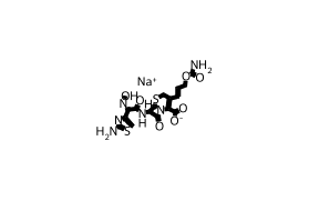 NC(=O)OC/C=C/C1=C(C(=O)[O-])N2C(=O)C(NC(=O)/C(=N\O)c3csc(N)n3)[C@H]2SC1.[Na+]